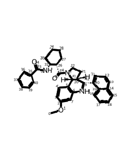 COc1ccc2c(c1)N[C@@H](c1cccc3ccccc13)[C@H]1CCN(C(=O)[C@H]3CCCC[C@H]3NC(=O)c3ccccc3)[C@@H]21